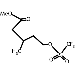 COC(=O)CC(C)CCOS(=O)(=O)C(F)(F)F